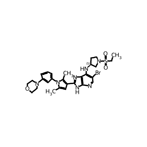 CCS(=O)(=O)N1CC[C@H](Nc2c(Br)cnc3[nH]c(-c4cc(C)n(-c5cccc(N6CCOCC6)c5)c4C)nc23)C1